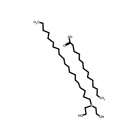 CCCCCCCCCCCCCC(=O)O.CCCCCCCCCCCCCCCCCCCCN(CCO)CCO